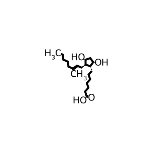 CCCCC/C(C)=C/C[C@@H]1[C@@H](CCCCCCC(=O)O)[C@@H](O)C[C@H]1O